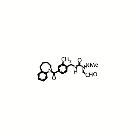 CNN(CC=O)C(=O)NCc1ccc(C(=O)N2CCCCc3ccccc32)cc1C